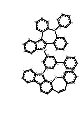 C1=Cc2ccc3c4ccccc4n(-c4cc(-c5ccccc5)cc(-n5c6c(c7ccccc75)-c5ccccc5N(c5ccccc5)c5ccccc5-6)c4)c3c2Oc2ccccc21